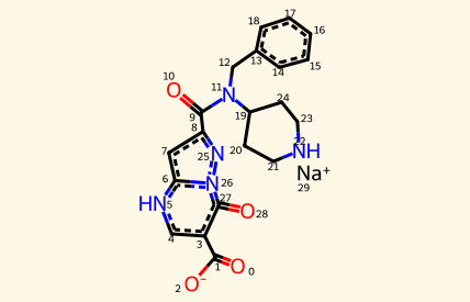 O=C([O-])c1c[nH]c2cc(C(=O)N(Cc3ccccc3)C3CCNCC3)nn2c1=O.[Na+]